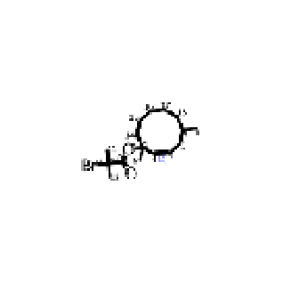 CC1C/C=C\C(C)(OC(=O)C(C)(C)Br)CCCCC1